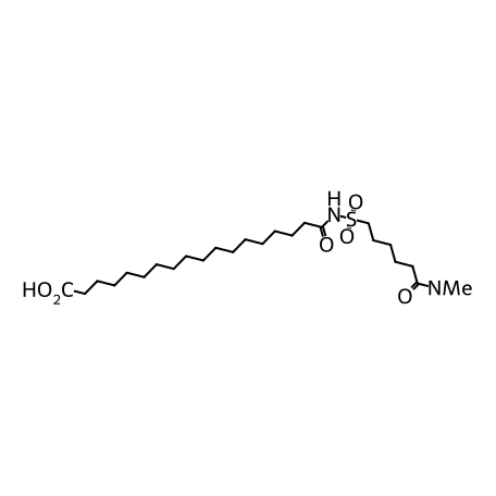 CNC(=O)CCCCCS(=O)(=O)NC(=O)CCCCCCCCCCCCCCCCC(=O)O